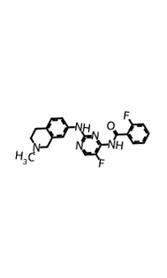 CN1CCc2ccc(Nc3ncc(F)c(NC(=O)c4ccccc4F)n3)cc2C1